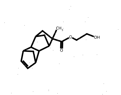 CC1(C(=O)OCCO)CC2CC1C1C3C=CC(C3)C21